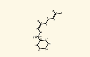 CC(C)=CCCC(C)=CCNC1CCCCC1